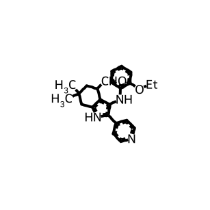 CCOc1ccccc1Nc1c(-c2ccncc2)[nH]c2c1C(C=O)CC(C)(C)C2